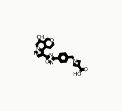 CC1Cn2ncc(-c3nc(-c4ccc(CN5CC(C(=O)O)C5)cc4)no3)c2C2CCOCC12